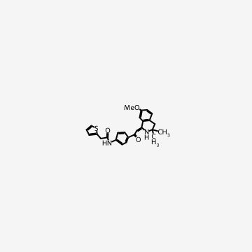 COc1ccc2c(c1)C(=CC(=O)c1ccc(NC(=O)Cc3cccs3)cc1)NC(C)(C)C2